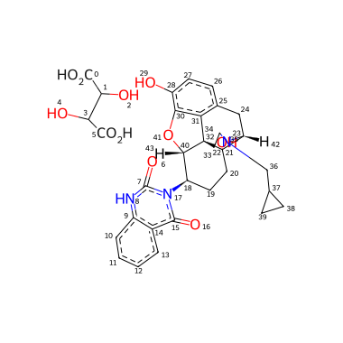 O=C(O)C(O)C(O)C(=O)O.O=c1[nH]c2ccccc2c(=O)n1[C@@H]1CCC2(O)[C@H]3Cc4ccc(O)c5c4[C@@]2(CCN3CC2CC2)[C@H]1O5